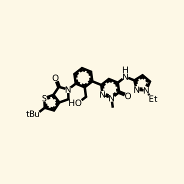 CCn1ccc(Nc2cc(-c3cccc(N4Cc5cc(C(C)(C)C)sc5C4=O)c3CO)nn(C)c2=O)n1